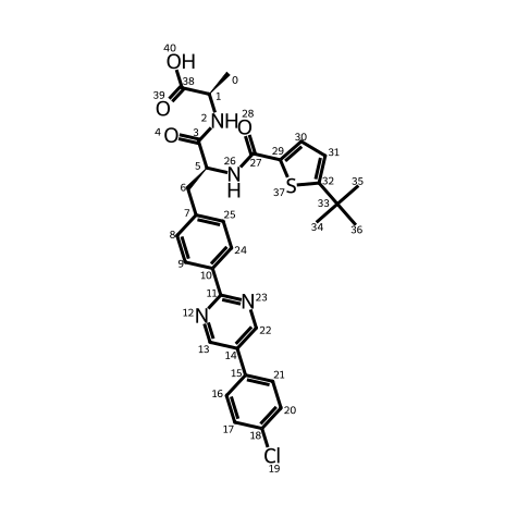 C[C@@H](NC(=O)[C@H](Cc1ccc(-c2ncc(-c3ccc(Cl)cc3)cn2)cc1)NC(=O)c1ccc(C(C)(C)C)s1)C(=O)O